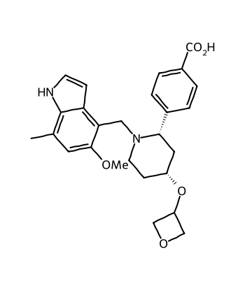 COc1cc(C)c2[nH]ccc2c1CN1CC[C@@H](OC2COC2)C[C@H]1c1ccc(C(=O)O)cc1